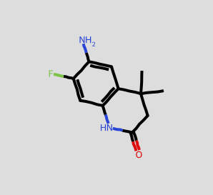 CC1(C)CC(=O)Nc2cc(F)c(N)cc21